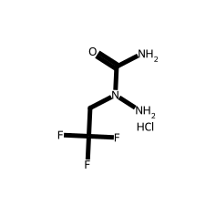 Cl.NC(=O)N(N)CC(F)(F)F